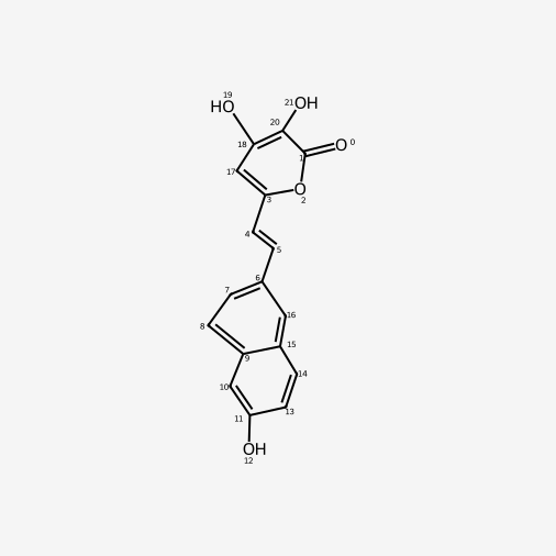 O=c1oc(/C=C/c2ccc3cc(O)ccc3c2)cc(O)c1O